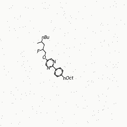 CCCCCCCCc1ccc(-c2ncc(OCC(F)CC(C)CCCC)cn2)cc1